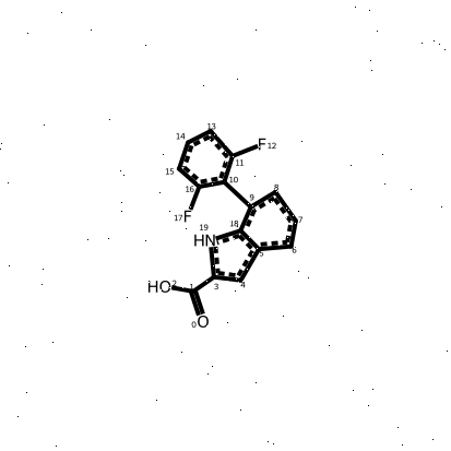 O=C(O)c1cc2cccc(-c3c(F)cccc3F)c2[nH]1